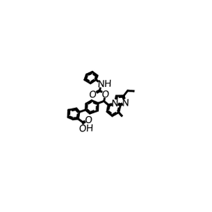 CCc1cn2c(C(OC(=O)Nc3ccccc3)c3ccc(-c4ccccc4C(=O)O)cc3)ccc(C)c2n1